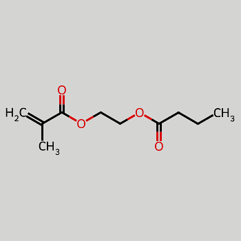 C=C(C)C(=O)OCCOC(=O)CCC